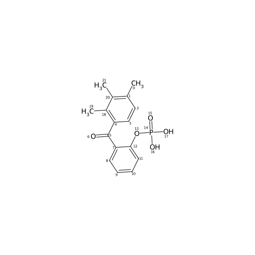 Cc1ccc(C(=O)c2ccccc2OP(=O)(O)O)c(C)c1C